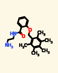 Cc1c(C)c(C)c(COc2ccccc2C(=O)NCCN)c(C)c1C